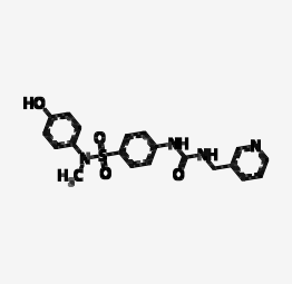 CN(c1ccc(O)cc1)S(=O)(=O)c1ccc(NC(=O)NCc2cccnc2)cc1